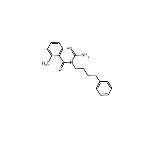 Cc1ccccc1C(=O)N(CCCCc1ccccc1)C(=N)N